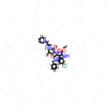 CCOC(=O)c1[nH]c2cc(Cl)ccc2c1C(N[C@H](CC(C)C)C(=O)NCCCN1CCCCC1)C(=O)NCc1ccccc1